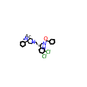 CC(=O)N(C)C1(c2ccccc2)CCN(CC[C@H](CNC(=O)c2ccccc2)c2ccc(Cl)c(Cl)c2)CC1